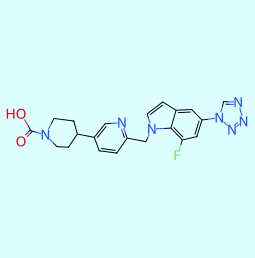 O=C(O)N1CCC(c2ccc(Cn3ccc4cc(-n5cnnn5)cc(F)c43)nc2)CC1